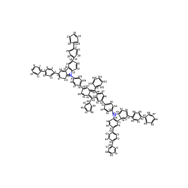 C1=C(c2ccc(-c3ccccc3)cc2)C=C2c3cc(-c4ccc(-c5ccccc5)cc4)ccc3N(c3ccc(-c4ccc5c(-c6ccccc6)c6cc(-c7ccc(-n8c9ccc(-c%10ccc(-c%11ccccc%11)cc%10)cc9c9cc(-c%10ccc(-c%11ccccc%11)cc%10)ccc98)cc7)ccc6c(-c6ccccc6)c5c4)cc3)C2C1